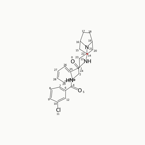 O=C(CNC(=O)c1cccc(Cl)c1)NC1CC2CCC(C1)N2CCCc1ccccc1